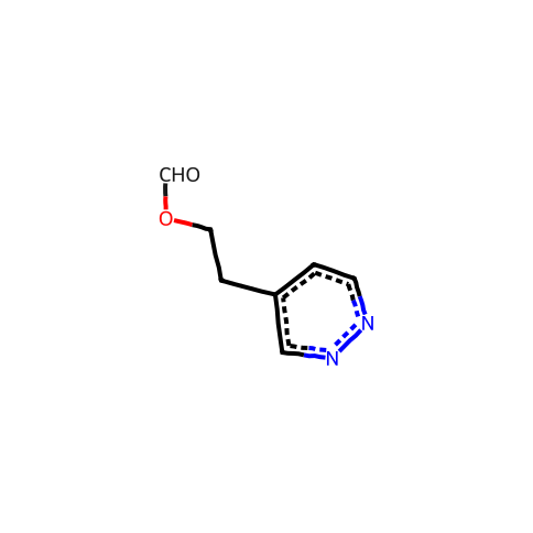 O=COCCc1ccnnc1